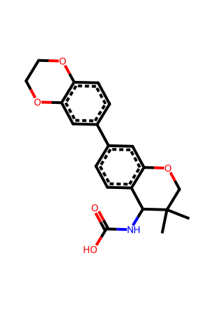 CC1(C)COc2cc(-c3ccc4c(c3)OCCO4)ccc2C1NC(=O)O